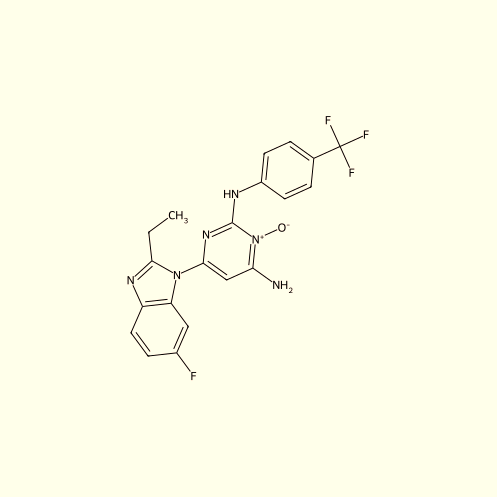 CCc1nc2ccc(F)cc2n1-c1cc(N)[n+]([O-])c(Nc2ccc(C(F)(F)F)cc2)n1